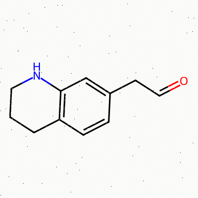 O=CCc1ccc2c(c1)NCCC2